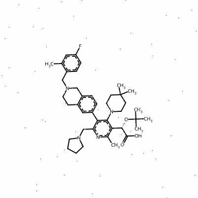 Cc1cc(F)ccc1CN1CCc2cc(-c3c(CN4CCCC4)nc(C)c([C@H](OC(C)(C)C)C(=O)O)c3N3CCC(C)(C)CC3)ccc2C1